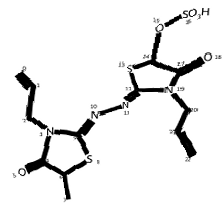 C=CCN1C(=O)C(C)SC1=NN=C1SC(OS(=O)(=O)O)C(=O)N1CC=C